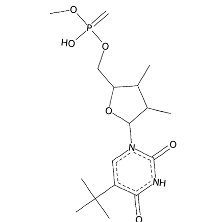 C=P(O)(OC)OCC1OC(n2cc(C(C)(C)C)c(=O)[nH]c2=O)C(C)C1C